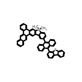 C[Si]1(C)c2ccc(-c3c4ccccc4c(-c4cccc5c4sc4ccccc45)c4ccccc34)cc2-c2cc3c(cc21)c1ccccc1c1cc2ccccc2cc31